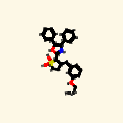 O=C(O)COc1cccc(CC2CCS(=O)(=O)C2c2nc(-c3ccccc3)c(-c3ccccc3)o2)c1